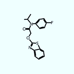 CC(C)N(C(=O)COc1nc2ccccc2s1)c1ccc(F)cc1